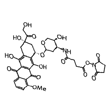 COc1cccc2c1C(=O)c1c(O)c3c(c(O)c1C2=O)C[C@@](O)(C(=O)CO)C[C@@H]3OC1C[C@H](NC(=O)CCC(=O)ON2C(=O)CCC2=O)[C@H](O)CO1